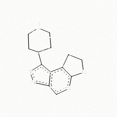 c1nc2c(c3c(C4CCNCC4)n[nH]c13)CCN2